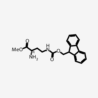 COC(=O)[C@H](N)CCNC(=O)OCC1c2ccccc2-c2ccccc21